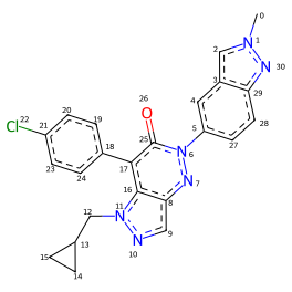 Cn1cc2cc(-n3nc4cnn(CC5CC5)c4c(-c4ccc(Cl)cc4)c3=O)ccc2n1